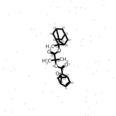 CC(C)(OC(=O)C1CC2C=CC1C2=O)C(=O)OC1(C)C2CC3CC(C2)CC1C3